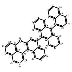 c1ccc2c(-c3c4ccccc4c(-c4cc5c(c6ccccc46)-c4cncc6cccc(c46)O5)c4ccccc34)cccc2c1